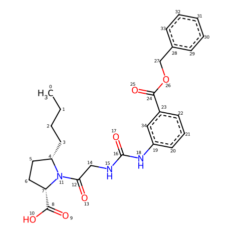 CCCC[C@H]1CC[C@@H](C(=O)O)N1C(=O)CNC(=O)Nc1cccc(C(=O)OCc2ccccc2)c1